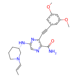 CC=CN1CCC[C@H](Nc2cnc(C(N)=O)c(C#Cc3cc(OC)cc(OC)c3)n2)C1